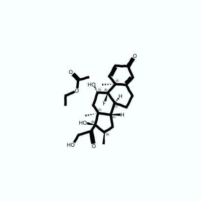 CCOC(C)=O.C[C@@H]1C[C@H]2[C@@H]3CCC4=CC(=O)C=C[C@]4(C)[C@@]3(F)[C@@H](O)C[C@]2(C)[C@@]1(O)C(=O)CO